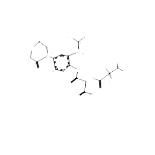 NC(=O)[C@@H](NC(=O)C(F)(F)C(F)F)C(=O)Nc1ccc(N2CCOCC2=O)cc1OC(F)F